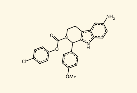 COc1ccc(C2c3[nH]c4ccc(N)cc4c3CCN2C(=O)Oc2ccc(Cl)cc2)cc1